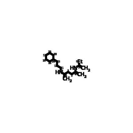 C=C(CCC(=C)NC(=C)CC)NCCCC1CCCCC1